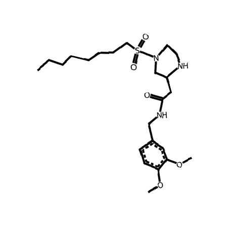 CCCCCCCCS(=O)(=O)N1CCNC(CC(=O)NCc2ccc(OC)c(OC)c2)C1